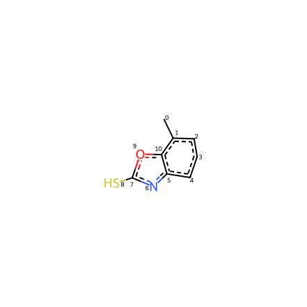 Cc1cccc2nc(S)oc12